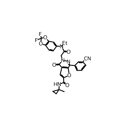 CCN(C(=O)Cn1nc(-c2cccc(C#N)c2)c2oc(C(=O)NC3(C)CC3)cc2c1=O)c1ccc2c(c1)OC(F)(F)O2